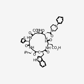 CC(C)C[C@@H]1NC(=O)[C@@H](c2cccs2)NC(=O)[C@H](C(=O)O)NC(=O)[C@H](CC(=O)N2CCN(c3ccccc3)CC2)NC(=O)[C@@H](CC(=O)O)NC(=O)[C@@H](Cc2c[nH]c3ccccc23)CC1=O